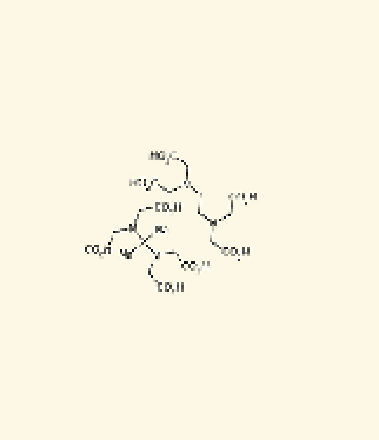 O=C(O)CN(CC(=O)O)[C]([Na])([Na])N(CC(=O)O)CC(=O)O.O=C(O)CN(CCN(CC(=O)O)CC(=O)O)CC(=O)O